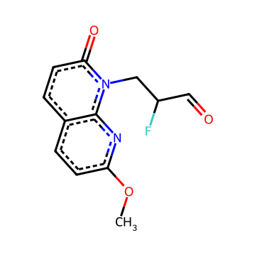 COc1ccc2ccc(=O)n(CC(F)C=O)c2n1